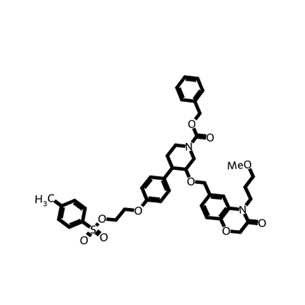 COCCCN1C(=O)COc2ccc(COC3CN(C(=O)OCc4ccccc4)CCC3c3ccc(OCCOS(=O)(=O)c4ccc(C)cc4)cc3)cc21